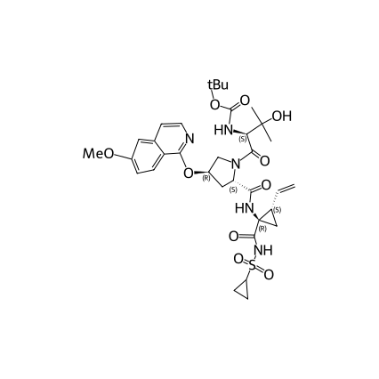 C=C[C@@H]1C[C@]1(NC(=O)[C@@H]1C[C@@H](Oc2nccc3cc(OC)ccc23)CN1C(=O)[C@@H](NC(=O)OC(C)(C)C)C(C)(C)O)C(=O)NS(=O)(=O)C1CC1